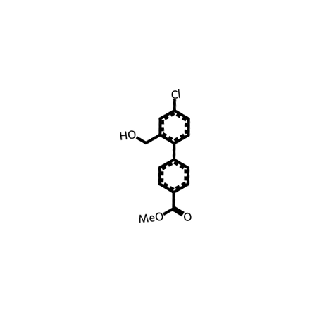 COC(=O)c1ccc(-c2ccc(Cl)cc2CO)cc1